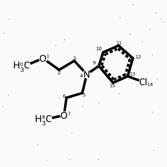 COCCN(CCOC)c1cccc(Cl)c1